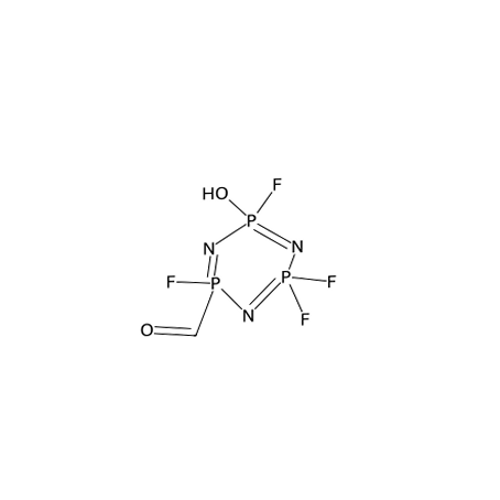 O=CP1(F)=NP(O)(F)=NP(F)(F)=N1